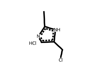 Cc1ncc(CCl)[nH]1.Cl